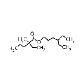 CCCC(C)(CC)C([O])OCCCC(CC)CC